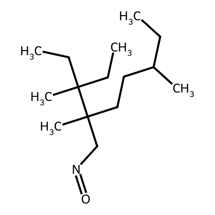 CCC(C)CCC(C)(CN=O)C(C)(CC)CC